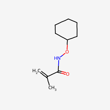 C=C(C)C(=O)NOC1CCCCC1